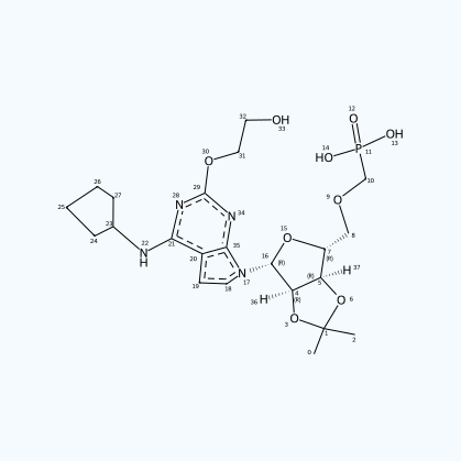 CC1(C)O[C@@H]2[C@H](O1)[C@@H](COCP(=O)(O)O)O[C@H]2n1ccc2c(NC3CCCC3)nc(OCCO)nc21